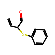 C=CC(C=O)Sc1ccccc1